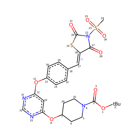 CC(C)(C)OC(=O)N1CCC(Oc2cc(Oc3ccc(/C=C4\SC(=O)N(S(C)(=O)=O)C4=O)cc3)ncn2)CC1